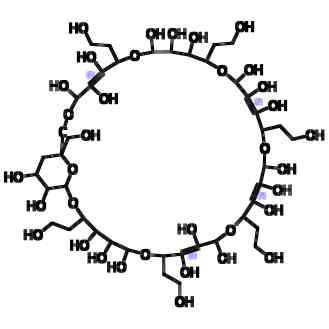 OCCC1OC(O)/C(O)=C(/O)C(CCO)OC(O)/C(O)=C(\O)C(CCO)OC(O)C(O)C(O)C(CCO)OC2OC(CO)(COC(O)/C(O)=C(\O)C(CCO)OC(O)C(O)C(O)C(CCO)OC(O)/C(O)=C\1O)CC(O)C2O